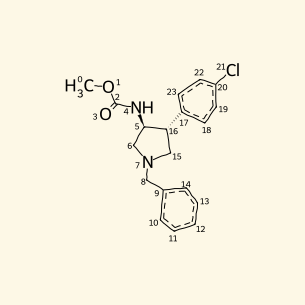 COC(=O)N[C@@H]1CN(Cc2ccccc2)C[C@H]1c1ccc(Cl)cc1